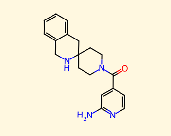 Nc1cc(C(=O)N2CCC3(CC2)Cc2ccccc2CN3)ccn1